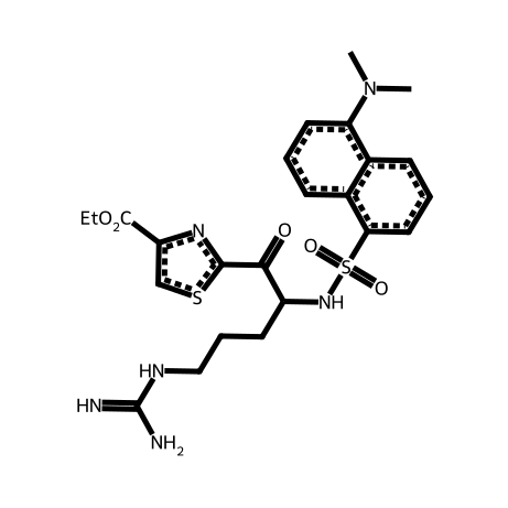 CCOC(=O)c1csc(C(=O)C(CCCNC(=N)N)NS(=O)(=O)c2cccc3c(N(C)C)cccc23)n1